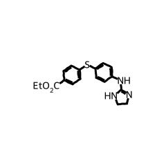 CCOC(=O)c1ccc(Sc2ccc(NC3=NCCN3)cc2)cc1